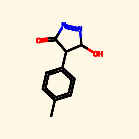 Cc1ccc(C2C(=O)N=NC2O)cc1